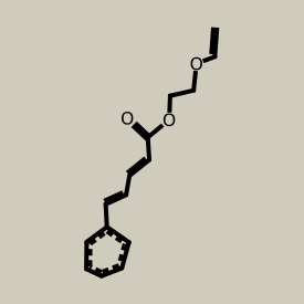 C=COCCOC(=O)C=CC=Cc1ccccc1